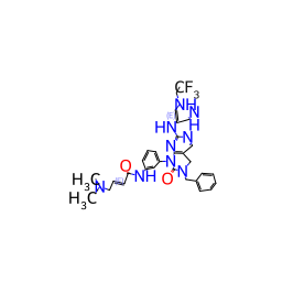 CN(C)C/C=C/C(=O)Nc1cccc(N2C(=O)N(Cc3ccccc3)Cc3cnc(N/C(C=N)=C/NCC(F)(F)F)nc32)c1